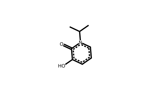 CC(C)n1cccc(O)c1=O